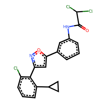 O=C(Nc1cccc(-c2cc(-c3c(Cl)cccc3C3CC3)no2)c1)C(Cl)Cl